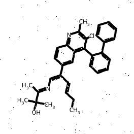 CC/C=C/C(=C\N=C(/C)C(C)(C)O)c1ccc2nc(C)c(Cl)c(-c3ccccc3-c3ccccc3)c2c1